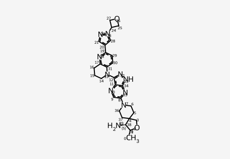 C[C@@H]1OCC2(CCN(c3cnc4c(N5CCCc6nc(-c7cnn(C8COC8)c7)ccc65)n[nH]c4n3)CC2)[C@@H]1N